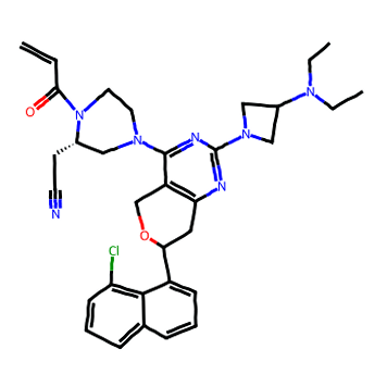 C=CC(=O)N1CCN(c2nc(N3CC(N(CC)CC)C3)nc3c2COC(c2cccc4cccc(Cl)c24)C3)C[C@@H]1CC#N